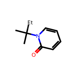 CCC(C)(C)n1ccccc1=O